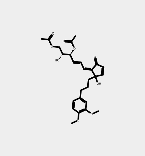 COc1ccc(CCCC2(O)C=CC(=O)C2=CC=C[C@H](OC(C)=O)[C@H](O)COC(C)=O)cc1OC